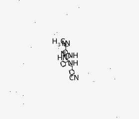 Cn1cc(-c2cnc3c(c2)NC[C@@H]([C@@H](NCCc2ccc(C#N)cc2)c2ccccc2)N3)cn1